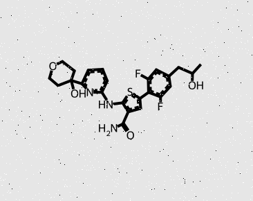 CC(O)Cc1cc(F)c(-c2cc(C(N)=O)c(Nc3cccc(C4(O)CCOCC4)n3)s2)c(F)c1